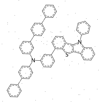 c1ccc(-c2ccc(-c3cccc(N(c4ccc(-c5ccccc5)cc4)c4cccc(-c5cccc6c5sc5c7ccccc7n(-c7ccccc7)c65)c4)c3)cc2)cc1